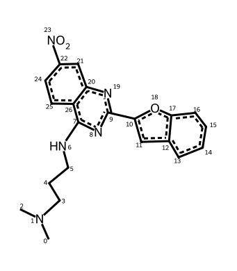 CN(C)CCCNc1nc(-c2cc3ccccc3o2)nc2cc([N+](=O)[O-])ccc12